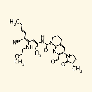 CC/C=C/C(C#N)=C(\C=C(/C)NC(=O)N1CCCc2cc(N3CCC(C)C3=O)c(C=O)nc21)NCCOC